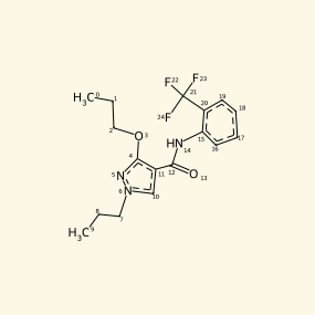 CCCOc1nn(CCC)cc1C(=O)Nc1ccccc1C(F)(F)F